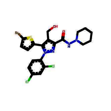 O=C(NN1CCCCC1)c1nn(-c2ccc(Cl)cc2Cl)c(-c2ccc(Br)s2)c1CO